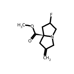 C=C1CN2CC(F)C[C@@]2(C(=O)OC)C1